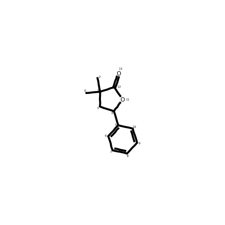 CC1(C)CC(c2ccccc2)OC1=O